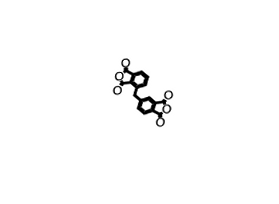 O=C1OC(=O)c2cc(Cc3cccc4c3C(=O)OC4=O)ccc21